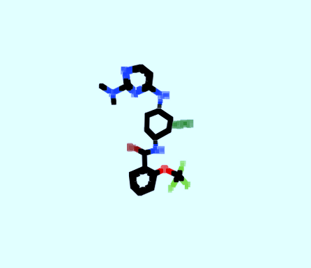 CN(C)c1nccc(N[C@H]2CC[C@@H](NC(Br)c3ccccc3OC(F)(F)F)CC2)n1.Cl.Cl